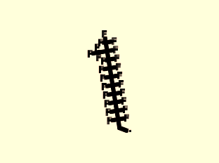 [CH2]CC(F)(F)C(F)(F)C(F)(F)C(F)(F)C(F)(F)C(F)(F)C(F)(F)C(F)(F)C(F)(C(F)(F)F)C(F)(F)F